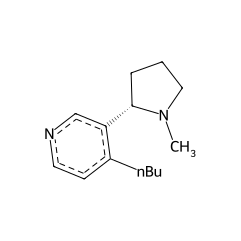 CCCCc1ccncc1[C@@H]1CCCN1C